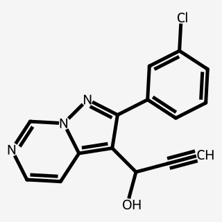 C#CC(O)c1c(-c2cccc(Cl)c2)nn2cnccc12